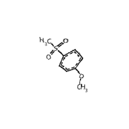 COc1ccc(S(C)(=O)=O)cc1